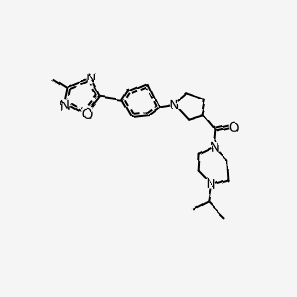 Cc1noc(-c2ccc(N3CCC(C(=O)N4CCN(C(C)C)CC4)C3)cc2)n1